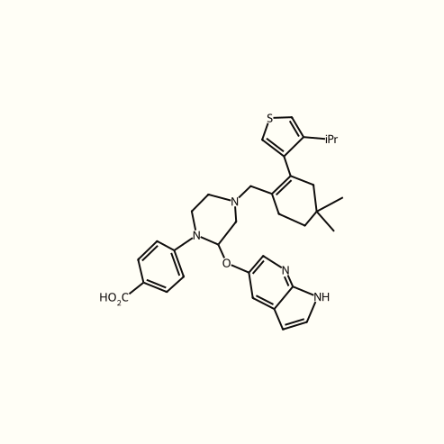 CC(C)c1cscc1C1=C(CN2CCN(c3ccc(C(=O)O)cc3)C(Oc3cnc4[nH]ccc4c3)C2)CCC(C)(C)C1